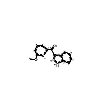 COc1cccc(C(=O)c2n[nH]c3ccccc23)n1